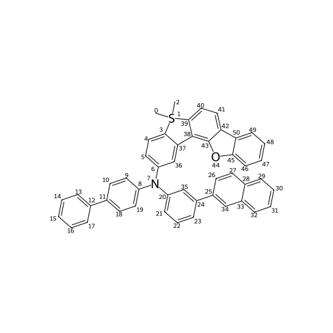 CS1(C)c2ccc(N(c3ccc(-c4ccccc4)cc3)c3cccc(-c4ccc5ccccc5c4)c3)cc2-c2c1ccc1c2oc2ccccc21